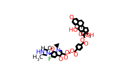 COc1c(N2CCNC(C)C2)c(F)cc2c(=O)c(C(=O)OCOC(=O)c3ccc(C(=O)OCC(=O)[C@@]4(O)CCC5C6CCC7=CC(=O)C=C[C@]7(C)C6[C@@H](O)C[C@@]54C)cc3)cn(C3CC3)c12